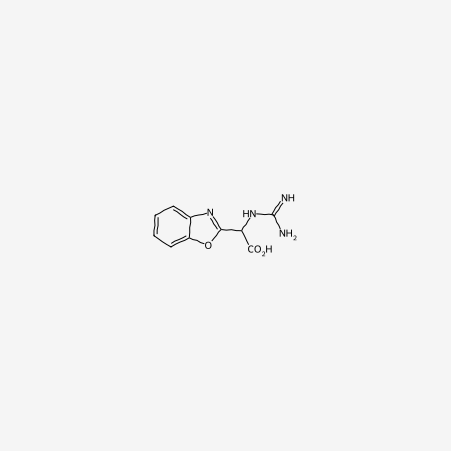 N=C(N)NC(C(=O)O)c1nc2ccccc2o1